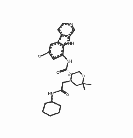 CC1(C)CN(CC(=O)NC2CCCCC2)[C@H](C(=O)Nc2cc(Cl)cc3c2[nH]c2cnccc23)CO1